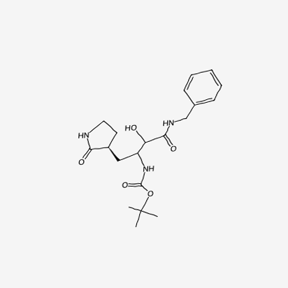 CC(C)(C)OC(=O)NC(C[C@@H]1CCNC1=O)C(O)C(=O)NCc1ccccc1